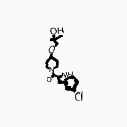 CC(C)(O)COC1CCN(C(=O)c2cc3cc(Cl)ccc3[nH]2)CC1